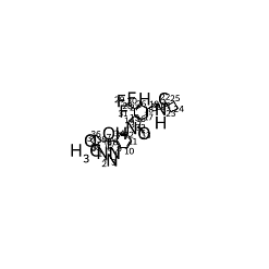 Cn1cnnc1[C@](O)(c1cccc(N2Cc3c(cc(CNC4(C)CCC4)cc3C(F)(F)F)C2=O)c1)C1COC1